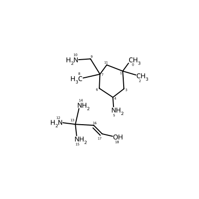 CC1(C)CC(N)CC(C)(CN)C1.NC(N)(N)C=CO